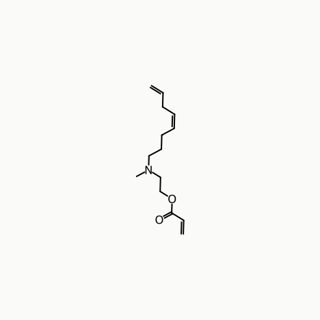 C=CC/C=C\CCCN(C)CCOC(=O)C=C